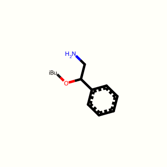 CCC(C)OC(CN)c1ccccc1